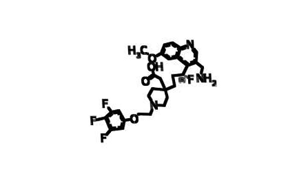 COc1ccc2ncc(CN)c([C@H](F)CCC3(CC(=O)O)CCN(CCOc4cc(F)c(F)c(F)c4)CC3)c2c1